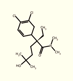 CC[C@](CCC(C)(C)O)(C(=O)N(C)C)C1C=CC(Cl)=C(Cl)C1